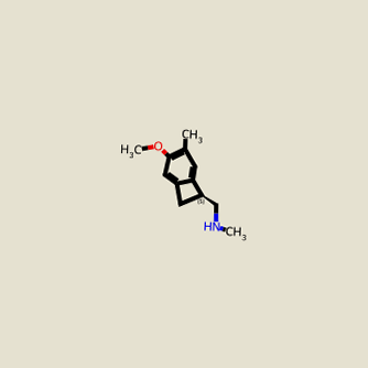 CNC[C@H]1Cc2cc(OC)c(C)cc21